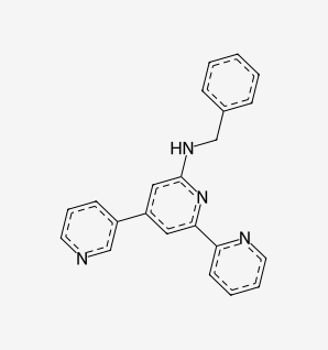 c1ccc(CNc2cc(-c3cccnc3)cc(-c3ccccn3)n2)cc1